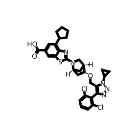 O=C(O)c1cc(C2CCCC2)c2nc(N3C[C@@H]4C[C@H]3C[C@H]4OCc3c(-c4c(Cl)cccc4Cl)nnn3C3CC3)sc2c1